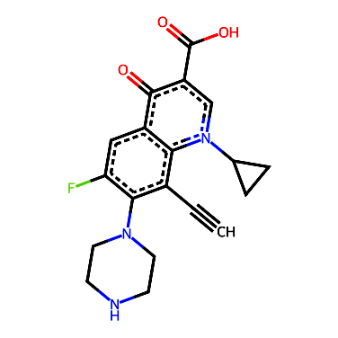 C#Cc1c(N2CCNCC2)c(F)cc2c(=O)c(C(=O)O)cn(C3CC3)c12